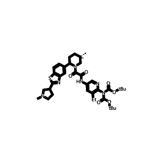 CCc1cc(NC(=O)C(=O)N2C[C@@H](C)CCC2c2ccc3sc(C4CCN(C)C4)nc3c2)cnc1N(C(=O)OC(C)(C)C)C(=O)OC(C)(C)C